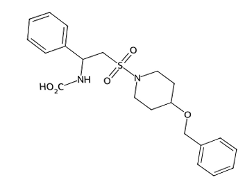 O=C(O)NC(CS(=O)(=O)N1CCC(OCc2ccccc2)CC1)c1ccccc1